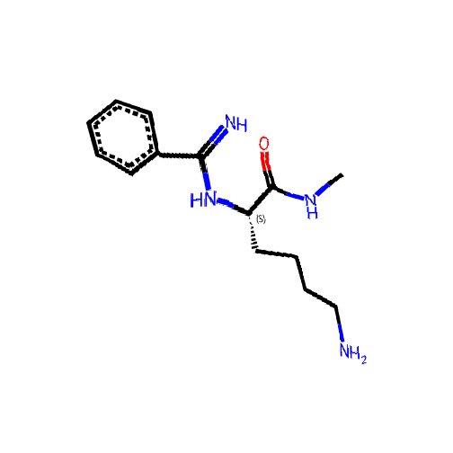 CNC(=O)[C@H](CCCCN)NC(=N)c1ccccc1